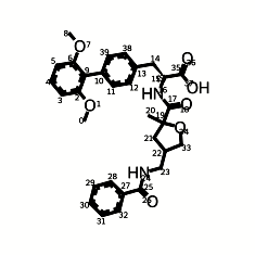 COc1cccc(OC)c1-c1ccc(C[C@H](NC(=O)C2(C)CC(CNC(=O)c3ccccc3)CO2)C(=O)O)cc1